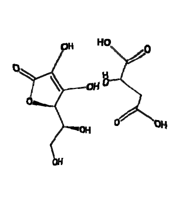 O=C(O)CC(O)C(=O)O.O=C1O[C@H]([C@@H](O)CO)C(O)=C1O